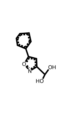 OC(O)c1cc(-c2ccccc2)on1